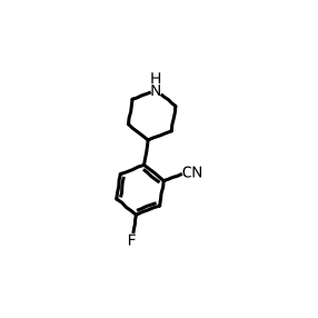 N#Cc1cc(F)ccc1C1CCNCC1